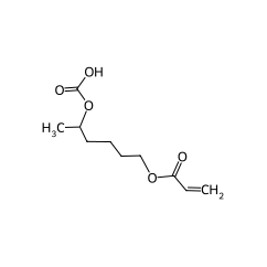 C=CC(=O)OCCCCC(C)OC(=O)O